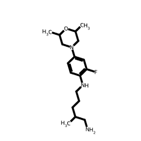 CC(CN)CCCNc1ccc(N2CC(C)OC(C)C2)cc1F